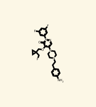 Nc1ccc(CCN2CCN(c3cnn(-c4cc(F)cc(F)c4)c(=O)c3OCC3(CF)CC3)CC2)cc1